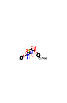 COc1ccc(COC(=O)C2=C(O)C[S+]([O-])[C@@H]3C(NC(=O)COc4ccccc4)C(=O)N23)cc1